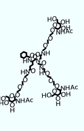 CC(=O)NC1C(OCCOCCOCCNC(=O)CCC(NC(=O)C2CCCCC2)C(=O)N(CC(=O)NCCOCCOCCOC2OC(CO)C(O)C(O)C2NC(C)=O)CC(=O)NCCOCCOCCOC2OC(CO)C(O)C(O)C2NC(C)=O)OC(CO)C(O)C1O